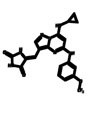 O=C1NC(=O)/C(=C/c2cnn3c(NC4CC4)cc(Nc4cccc(OC(F)(F)F)c4)nc23)N1